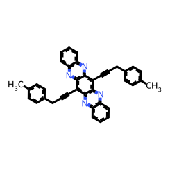 Cc1ccc(CC#Cc2c3nc4ccccc4nc3c(C#CCc3ccc(C)cc3)c3nc4ccccc4nc23)cc1